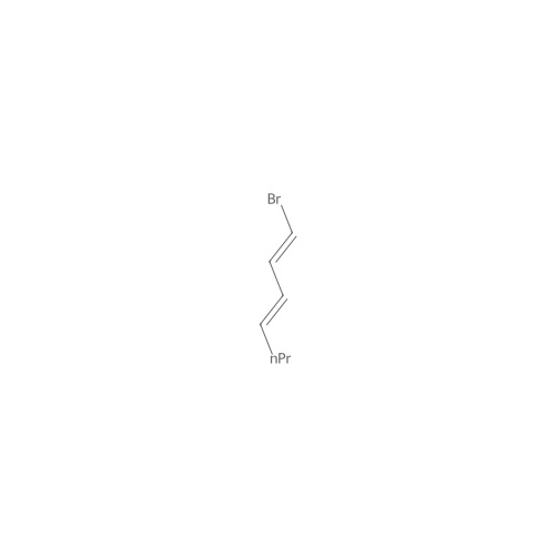 CCC/C=C/C=C/Br